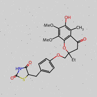 CCC1(COc2ccc(CC3SC(=O)NC3=O)cc2)CC(=O)c2c(C)c(O)c(OC)c(OC)c2O1